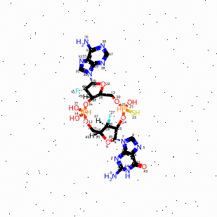 Nc1nc2c(ncn2[C@@H]2O[C@@H]3CO[PH](O)(O)O[C@@H]4C(CO[PH](O)(S)OC2[C@@H]3F)O[C@@H](n2cnc3c(N)ncnc32)[C@H]4F)c(=O)[nH]1